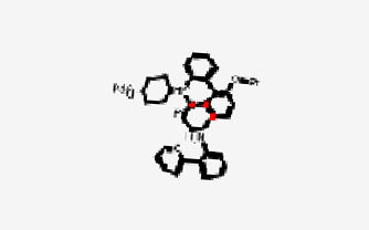 CC(C)Oc1cccc(OC(C)C)c1-c1ccccc1[PH+](C1CCCCC1)C1CCCCC1.Nc1ccccc1-c1[c-]cccc1.[Cl-].[Pd+2]